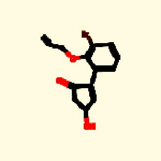 C=CCOc1c(Br)cccc1C1=CC(O)CC1=O